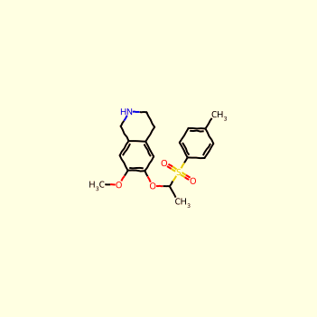 COc1cc2c(cc1OC(C)S(=O)(=O)c1ccc(C)cc1)CCNC2